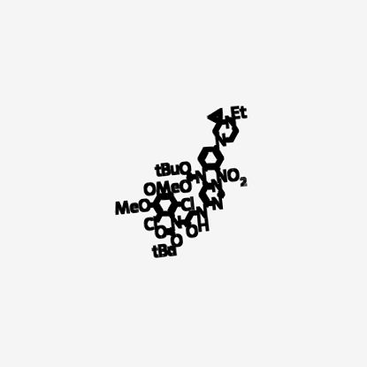 CCN1CCN(c2ccc(N(C(=O)OC(C)(C)C)c3cc(NCC(=O)N(C(=O)OC(C)(C)C)c4c(Cl)c(OC)cc(OC)c4Cl)ncn3)c([N+](=O)[O-])c2)CC12CC2